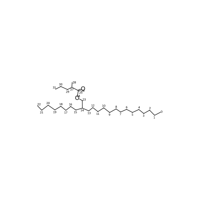 CCCCCCCCCCCCCCC(CCCCCCCC)COC(=O)C(C)CCC